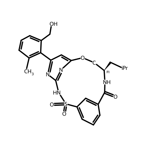 Cc1cccc(CO)c1-c1cc2nc(n1)NS(=O)(=O)c1cccc(c1)C(=O)N[C@H](CC(C)C)CO2